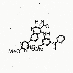 CCOC(=O)c1cc(Nc2ccccc2)cc(Nc2c(C(N)=O)cnc3cc(-c4cnc(OC)nc4OC)ccc23)c1